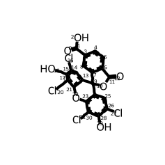 O=C(O)c1ccc2c(c1)C1(OC2=O)c2cc(Cl)c(O)c(Cl)c2Oc2c1cc(Cl)c(O)c2Cl